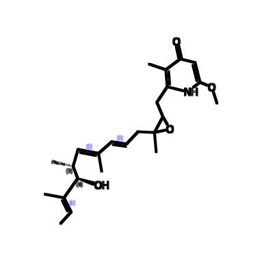 C/C=C(\C)[C@H](O)[C@H](C)/C=C(C)/C=C/CC1(C)OC1Cc1[nH]c(OC)cc(=O)c1C